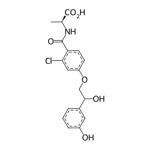 C[C@H](NC(=O)c1ccc(OCC(O)c2cccc(O)c2)cc1Cl)C(=O)O